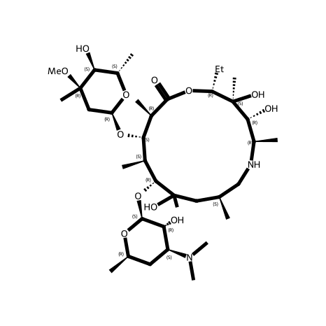 CC[C@H]1OC(=O)[C@H](C)[C@@H](O[C@H]2C[C@@](C)(OC)[C@@H](O)[C@H](C)O2)[C@H](C)[C@@H](O[C@@H]2O[C@H](C)C[C@H](N(C)C)[C@H]2O)C(C)(O)C[C@H](C)CN[C@H](C)[C@@H](O)[C@]1(C)O